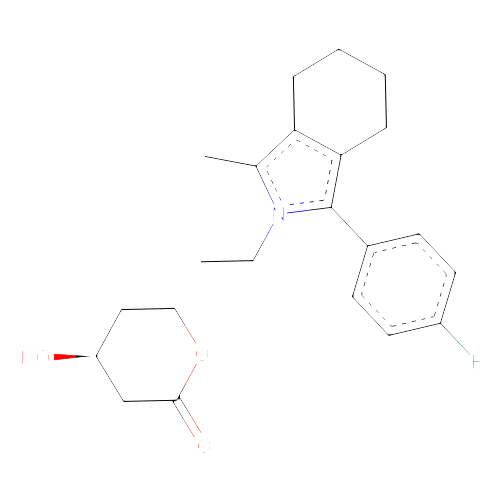 Cc1c2c(c(-c3ccc(F)cc3)n1CC[C@H]1C[C@H](O)CC(=O)O1)CCCC2